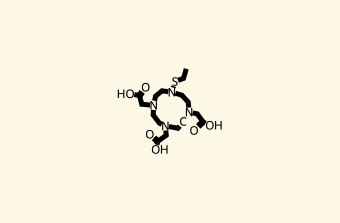 CCSN1CCN(CC(=O)O)CCN(CC(=O)O)CCN(CC(=O)O)CC1